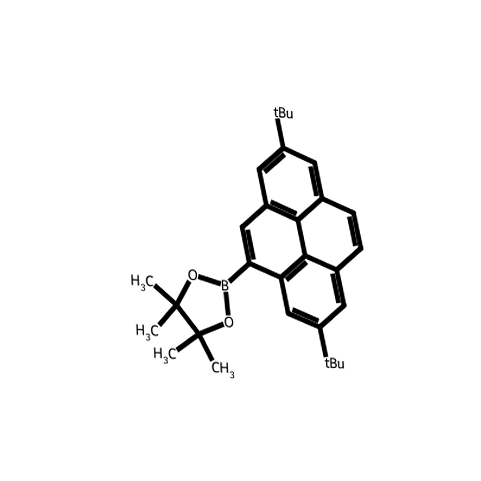 CC(C)(C)c1cc2ccc3cc(C(C)(C)C)cc4c(B5OC(C)(C)C(C)(C)O5)cc(c1)c2c34